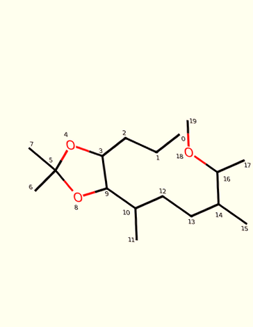 CCCC1OC(C)(C)OC1C(C)CCC(C)C(C)OC